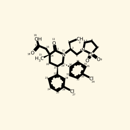 CC[C@@H](CN1CCCS1(=O)=O)N1C(=O)[C@@](C)(CC(=O)O)C[C@H](c2cccc(Cl)c2)[C@H]1c1ccc(Cl)cc1